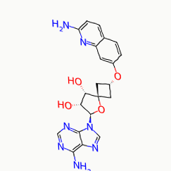 Nc1ccc2ccc(O[C@H]3C[C@@]4(C3)O[C@@H](n3cnc5c(N)ncnc53)[C@H](O)[C@@H]4O)cc2n1